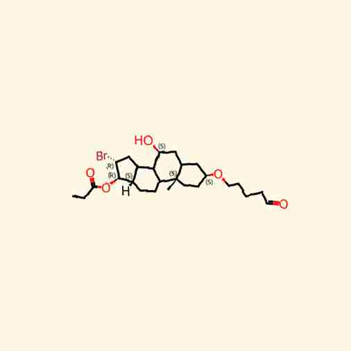 CCC(=O)O[C@H]1[C@H](Br)CC2C3C(CC[C@@H]21)[C@@]1(C)CC[C@H](OCCCCC=O)CC1C[C@@H]3O